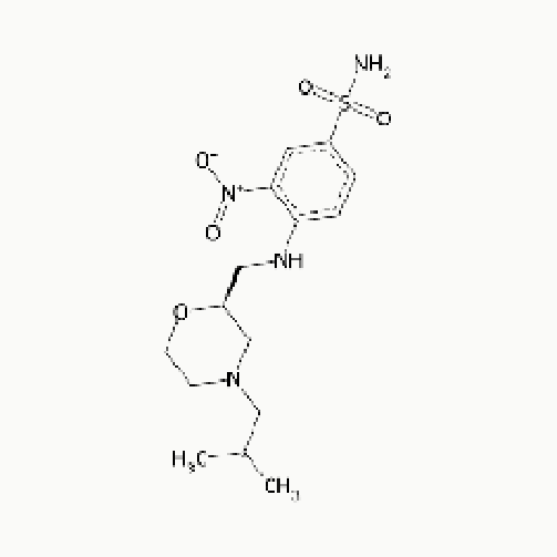 C[C](C)CN1CCO[C@@H](CNc2ccc(S(N)(=O)=O)cc2[N+](=O)[O-])C1